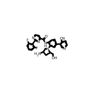 N#Cc1ccncc1-c1ccc(NC(=O)c2ccnc(-c3c(F)cccc3F)n2)c(N2CC(N)CC2CO)c1